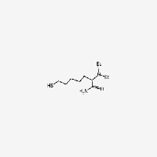 CCN(CC)C(CCCCCS)C(N)=O